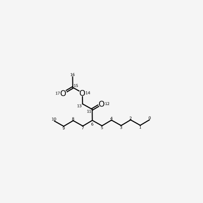 CCCCCCC(CCCC)C(=O)COC(C)=O